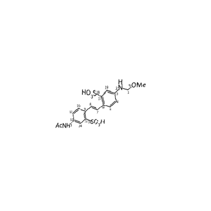 COCNc1ccc(C=Cc2ccc(NC(C)=O)cc2S(=O)(=O)O)c(S(=O)(=O)O)c1